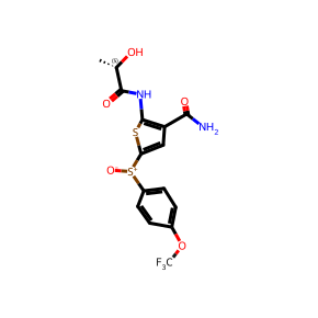 C[C@H](O)C(=O)Nc1sc([S+]([O-])c2ccc(OC(F)(F)F)cc2)cc1C(N)=O